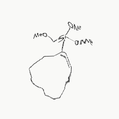 CO[Si](OC)(OC)C1=CCCCCCC1